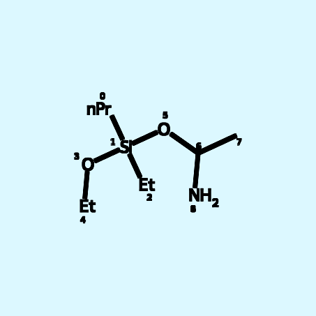 CCC[Si](CC)(OCC)OC(C)N